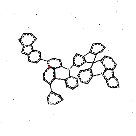 c1ccc(-c2ccccc2-c2ccccc2N(c2ccc(-c3ccc4sc5ccccc5c4c3)cc2)c2ccc3c(c2)C2(c4ccccc4-3)c3ccccc3-n3c4ccccc4c4cccc2c43)cc1